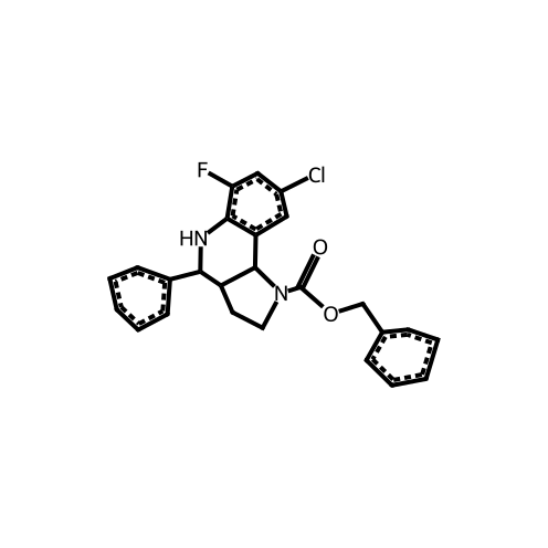 O=C(OCc1ccccc1)N1CCC2C(c3ccccc3)Nc3c(F)cc(Cl)cc3C21